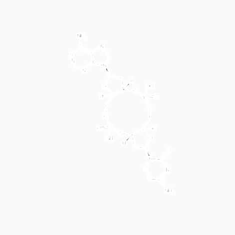 Nc1ccn([C@H]2C[C@@H]3OP(=O)(S)OC[C@H]4O[C@@H](n5cnc6c(N)ncnc65)C[C@@H]4OP(=O)(O)OC[C@H]3O2)c(=O)n1